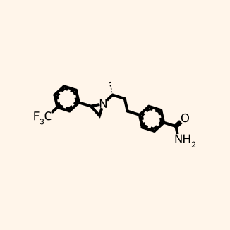 C[C@H](CCc1ccc(C(N)=O)cc1)N1CC1c1cccc(C(F)(F)F)c1